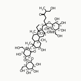 CO[C@@H]1CC2[C@@]3(C)C[C@@H](O)[C@H](O[C@@H]4O[C@H](CO)[C@@H](O)[C@H](O)[C@H]4O[C@@H]4O[C@H](CO)[C@@H](O)[C@H](O)[C@H]4O)C(C)(C)C3CC[C@@]2(C)[C@]2(C)CC[C@H]([C@](C)(CCC(=O)C(C)CO)O[C@@H]3O[C@H](CO)[C@@H](O)[C@H](O)[C@H]3O)[C@@]12C